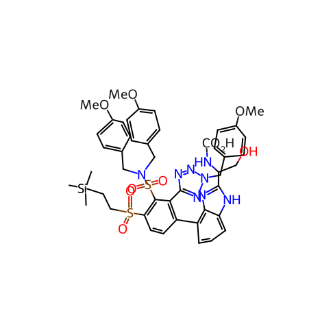 COc1ccc(CN(Cc2ccc(OC)cc2)S(=O)(=O)c2c(S(=O)(=O)CC[Si](C)(C)C)ccc(-c3cccc4[nH]c(C(CO)NC(=O)O)nc34)c2-c2nnn(Cc3ccc(OC)cc3)n2)cc1